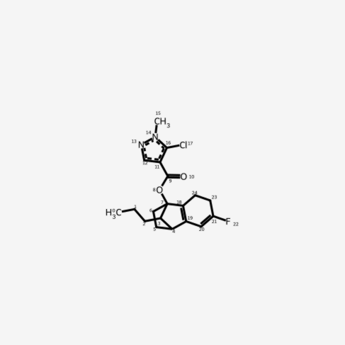 CCCC1C2CCC1(OC(=O)c1cnn(C)c1Cl)C1=C2C=C(F)CC1